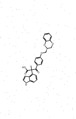 CC(C(=O)O)(C(=O)c1ccc(OC[C@@H]2COc3ccccc3O2)cc1)c1cccc2[nH]ccc12